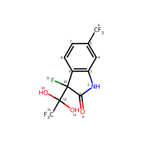 O=C1Nc2cc(C(F)(F)F)ccc2C1(F)C(O)(O)C(F)(F)F